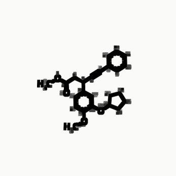 COC(=O)C[C@@H](C#Cc1ccccc1)c1ccc(OC)c(OC2CCCC2)c1